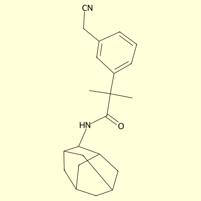 CC(C)(C(=O)NC1C2CC3CC(C2)CC1C3)c1cccc(CC#N)c1